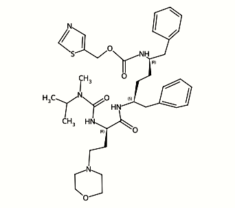 CC(C)N(C)C(=O)N[C@H](CCN1CCOCC1)C(=O)N[C@@H](CC[C@H](Cc1ccccc1)NC(=O)OCc1cncs1)Cc1ccccc1